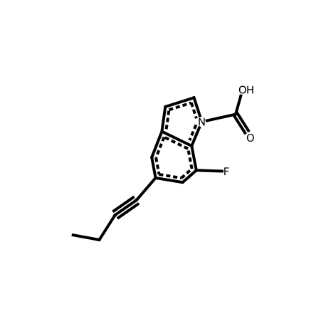 CCC#Cc1cc(F)c2c(ccn2C(=O)O)c1